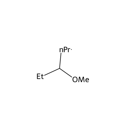 CC[CH]C(CC)OC